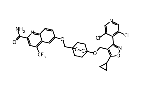 NC(=O)c1cc(C(F)(F)F)c2cc(OCC34CCC(OCc5c(-c6c(Cl)cncc6Cl)noc5C5CC5)(CC3)CC4)ccc2n1